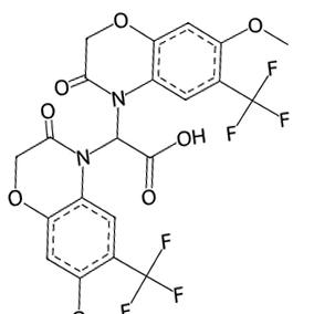 COc1cc2c(cc1C(F)(F)F)N(C(C(=O)O)N1C(=O)COc3cc(OC)c(C(F)(F)F)cc31)C(=O)CO2